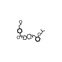 CC(C)COc1ccccc1CN1CCC2(CC1)CCN(C(=O)c1ccc(CC=O)cc1)C2